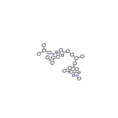 CC1(C)c2ccccc2-c2ccc(N(c3ccc(-c4cc(-c5ccccc5)cc(-c5ccc(-c6cccc(N7c8ccccc8C8(c9ccccc9-c9c(N(c%10ccc(-c%11cc(-c%12ccccc%12)cc(-c%12ccccc%12)c%11)cc%10)c%10ccc%11c(c%10)C(C)(c%10ccccc%10)c%10ccccc%10-%11)cccc98)c8ccccc87)c6)cc5)c4)cc3)c3cccc4c3-c3ccccc3C43c4ccccc4N(c4ccccc4)c4ccccc43)cc21